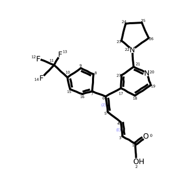 O=C(O)/C=C/C=C(/c1ccc(C(F)(F)F)cc1)c1ccnc(N2CCCC2)c1